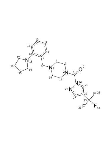 O=C(N1CCN(Cc2ccccc2N2CCCC2)CC1)n1cc(C(F)(F)F)cn1